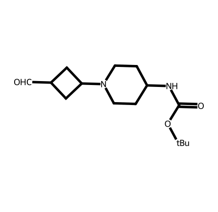 CC(C)(C)OC(=O)NC1CCN(C2CC(C=O)C2)CC1